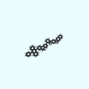 CC1(C)c2ccc(-c3cccc4c3oc3cc5oc6cc7ccccc7cc6c5cc34)cc2-c2ccc(-c3c4ccccc4c(-c4ccccc4)c4ccccc34)cc21